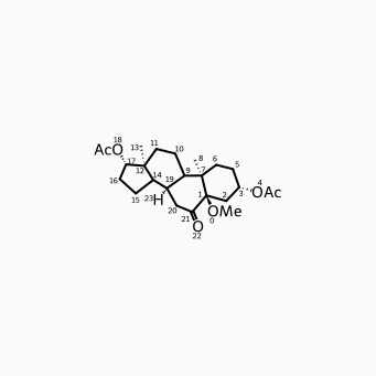 CO[C@]12C[C@@H](OC(C)=O)CC[C@]1(C)C1CC[C@@]3(C)C(CC[C@@H]3OC(C)=O)[C@@H]1CC2=O